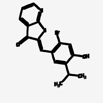 CC(C)c1cc(/C=C2\Sc3ncccc3C2=O)c(Br)cc1O